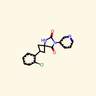 O=C1NC2(CC(c3ccccc3Cl)C2)C(=O)N1c1cccnc1